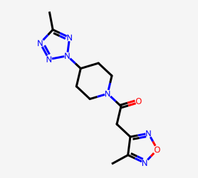 Cc1nnn(C2CCN(C(=O)Cc3nonc3C)CC2)n1